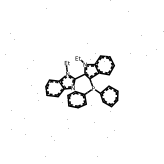 CCn1c(-c2c(P(c3ccccc3)c3ccccc3)c3ccccc3n2CC)nc2ccccc21